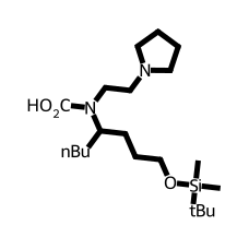 CCCCC(CCCO[Si](C)(C)C(C)(C)C)N(CCN1CCCC1)C(=O)O